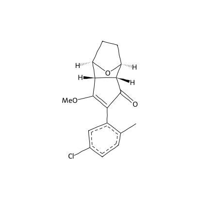 COC1=C(c2cc(Cl)ccc2C)C(=O)[C@@H]2[C@H]1[C@H]1CC[C@@H]2O1